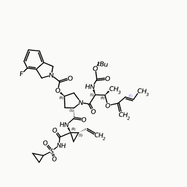 C=C[C@@H]1C[C@]1(NC(=O)[C@@H]1C[C@@H](OC(=O)N2Cc3cccc(F)c3C2)CN1C(=O)[C@@H](NC(=O)OC(C)(C)C)[C@@H](C)OC(=C)/C=C/C)C(=O)NS(=O)(=O)C1CC1